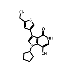 N#CCc1cc(-c2cn(C3CCCC3)c3c(C#N)c[nH]c(=O)c23)cs1